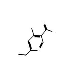 CCc1cc(C)c(C(=O)O)cn1